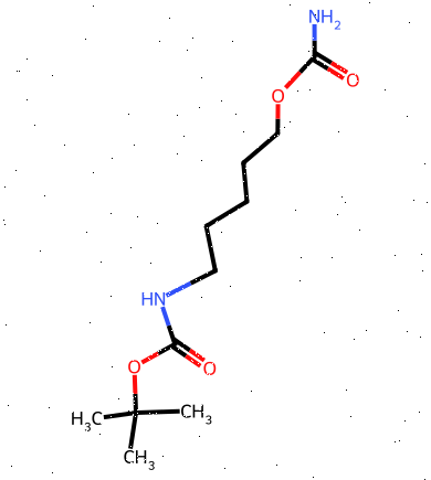 CC(C)(C)OC(=O)NCCCCCOC(N)=O